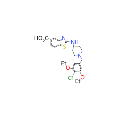 CCOc1cc(CN2CCC(Nc3nc4cc(C(=O)O)ccc4s3)CC2)cc(OCC)c1Cl